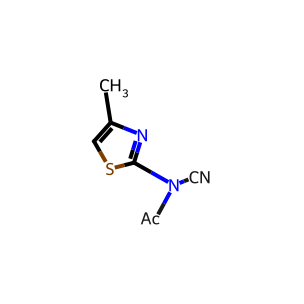 CC(=O)N(C#N)c1nc(C)cs1